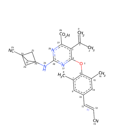 C=C(C)c1c(Oc2c(C)cc(/C=C/C#N)cc2C)nc(NC23CC(C#N)(C2)C3)nc1C(=O)O